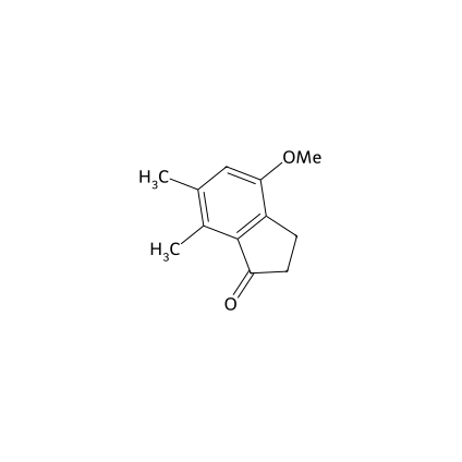 COc1cc(C)c(C)c2c1CCC2=O